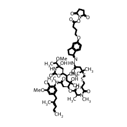 C=C/C=C(\C)Cc1cc(OC)c(Cl)c(N(C)C(=O)C[C@H](OC(=O)[C@H](C)N(C)C(=O)CCSSC(C)(C)CC(=O)N/N=C2\CCc3cc(OCCCC(=O)ON4C(=O)CCC4=O)ccc32)C(C)(O)C[C@H](C)[C@@H]2C[C@](O)([C@@H](C)OC)NC(=O)O2)c1